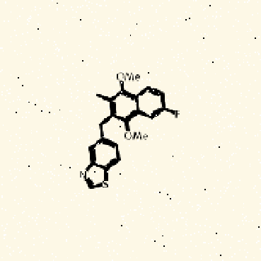 COc1c(C)c(Cc2ccc3scnc3c2)c(OC)c2cc(F)ccc12